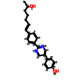 CC(O)CCCC=Cc1ccc(-c2ncc(-c3ccc(O)cc3)cn2)cc1